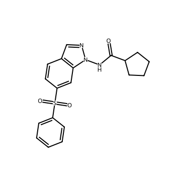 O=C(Nn1ncc2ccc(S(=O)(=O)c3ccccc3)cc21)C1CCCC1